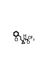 O=C(NC1(CCc2ccccc2Cl)CC1)C(F)(F)F